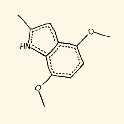 COc1ccc(OC)c2[nH]c(C)cc12